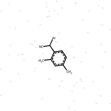 CC(=O)C(C#N)c1ccc(C)cc1C